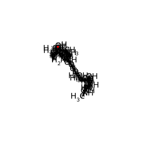 CCCNC(=O)Nc1cccc(S(=O)(=O)Nc2cccc([C@@H](CC(=O)O)NC(O)Nc3ccc(NC(O)NCCOCCOCCOCCC(=O)N[C@@H](CC(N)=O)C(=O)N4CCC[C@H]4C(=O)N[C@@H](C)C(=O)NCCCN(C(=O)CO)[C@@H](c4cc(-c5cc(F)ccc5F)cn4Cc4ccccc4)C(C)(C)C)cc3)c2)c1